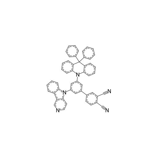 N#Cc1ccc(-c2cc(N3c4ccccc4C(c4ccccc4)(c4ccccc4)c4ccccc43)cc(-n3c4ccccc4c4cnccc43)c2)cc1C#N